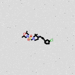 CC1CN(S(=O)(=O)CN2CC/C(=C\C#Cc3cccc(Cl)c3)C(C)(C)C2)CC(C)O1